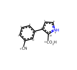 N#Cc1cccc(-c2cc[nH]c2C(=O)O)c1